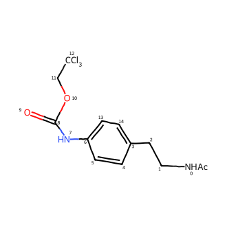 CC(=O)NCCc1ccc(NC(=O)OCC(Cl)(Cl)Cl)cc1